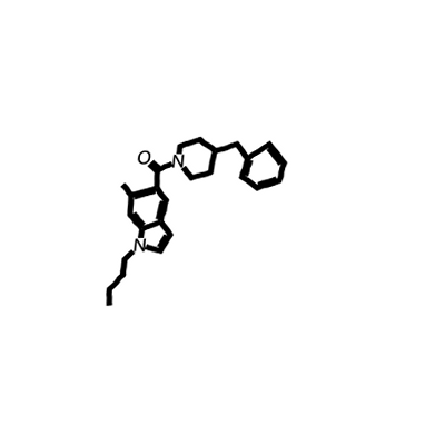 CCCCn1ccc2cc(C(=O)N3CCC(Cc4ccccc4)CC3)c(C)cc21